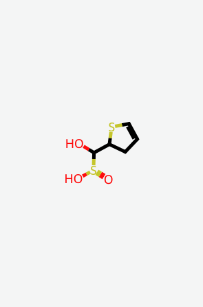 O=S(O)C(O)C1CC=CS1